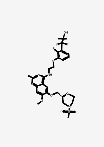 COc1cc2nc(C)nc(NCCOc3cccc(C(F)(F)C(C)(C)O)c3F)c2cc1OC[C@@H]1CN(S(C)(=O)=O)CCO1